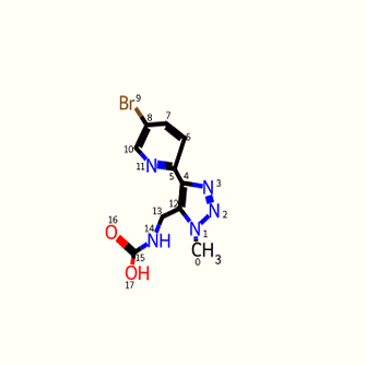 Cn1nnc(-c2ccc(Br)cn2)c1CNC(=O)O